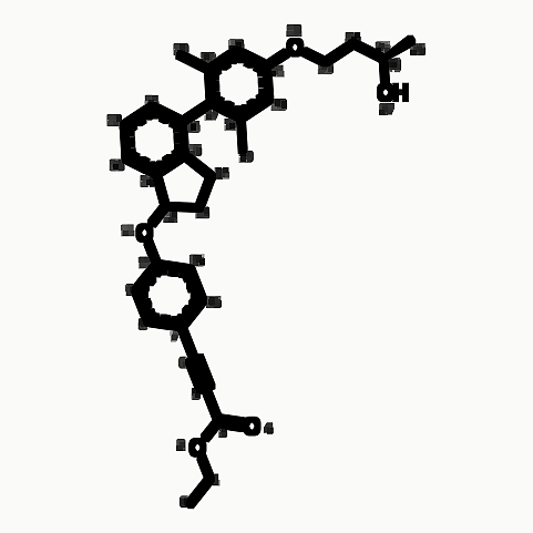 CCOC(=O)C#Cc1ccc(OC2CCc3c(-c4c(C)cc(OCC[C@@H](C)O)cc4C)cccc32)cc1